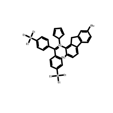 CC[Si](CC)(CC)c1ccc([C](c2ccc([Si](CC)(CC)CC)cc2)=[Hf]([c]2c(C(C)(C)C)ccc3c2Cc2cc(C(C)(C)C)ccc2-3)[CH]2C=CC=C2)cc1